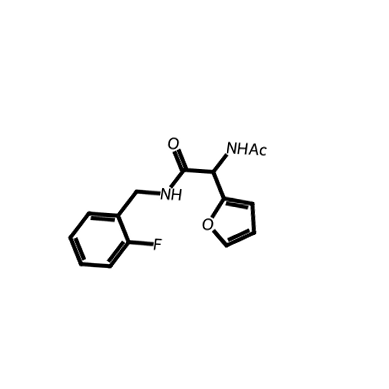 CC(=O)NC(C(=O)NCc1ccccc1F)c1ccco1